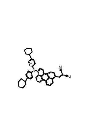 N#CC(C#N)=Cc1ccc2c3ccc(N(c4ccc(C5CCCCC5)cc4)c4ccc(C5CCCCC5)cc4)c4cccc(c5cccc1c52)c43